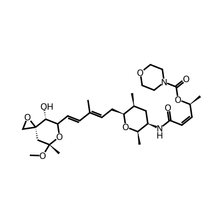 CO[C@]1(C)C[C@@]2(CO2)[C@H](O)C(/C=C/C(C)=C/C[C@@H]2O[C@H](C)[C@H](NC(=O)/C=C\[C@H](C)OC(=O)N3CCOCC3)C[C@@H]2C)O1